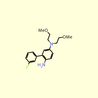 COCCN(CCOC)c1ccc(N)c(-c2cccc(F)c2)c1